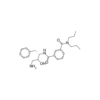 CCCN(CCC)C(=O)c1cccc(C(=O)N[C@@H](Cc2ccccc2)C(O)CN)c1